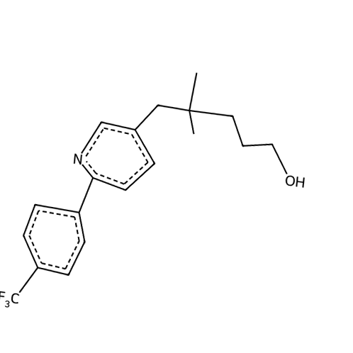 CC(C)(CCCO)Cc1ccc(-c2ccc(C(F)(F)F)cc2)nc1